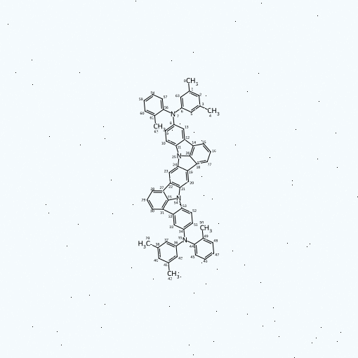 Cc1cc(C)cc(N(c2ccc3c(c2)c2cccc4c5cc6c(cc5n3c24)c2cccc3c4cc(N(c5cc(C)cc(C)c5)c5ccccc5C)ccc4n6c32)c2ccccc2C)c1